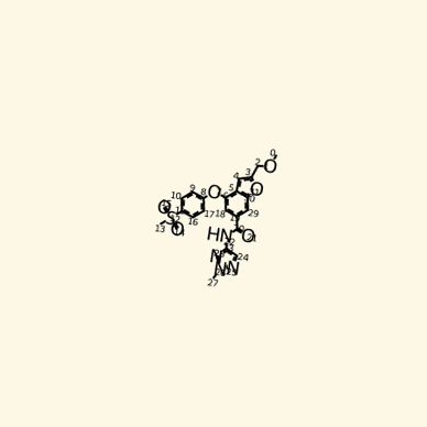 COCc1cc2c(Oc3ccc(S(C)(=O)=O)cc3)cc(C(=O)Nc3cnn(C)n3)cc2o1